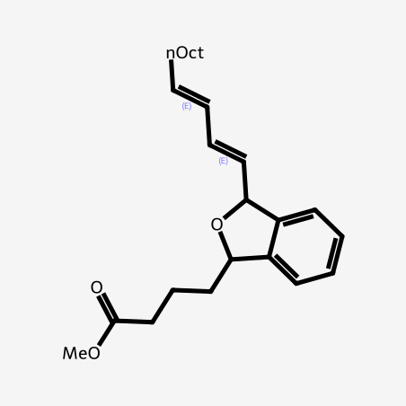 CCCCCCCC/C=C/C=C/C1OC(CCCC(=O)OC)c2ccccc21